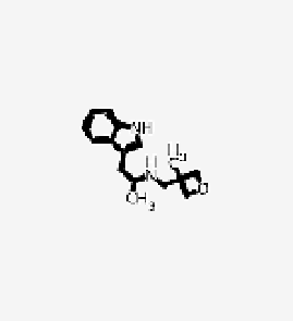 CC(Cc1c[nH]c2ccccc12)NCC1(C)COC1